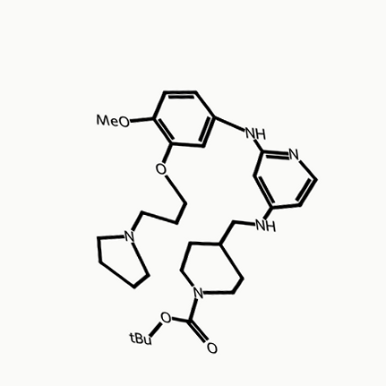 COc1ccc(Nc2cc(NCC3CCN(C(=O)OC(C)(C)C)CC3)ccn2)cc1OCCCN1CCCC1